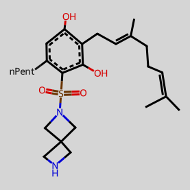 CCCCCc1cc(O)c(C/C=C(\C)CCC=C(C)C)c(O)c1S(=O)(=O)N1CC2(CNC2)C1